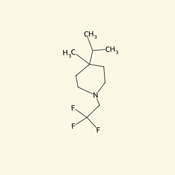 CC(C)C1(C)CCN(CC(F)(F)F)CC1